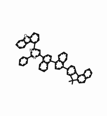 CC1(C)c2cc(-c3ccc(-c4ccc(-c5cc(-c6cccc7oc8ccccc8c67)nc(-c6ccccc6)n5)c5ccccc45)c4ccccc34)ccc2-c2c1ccc1ccccc21